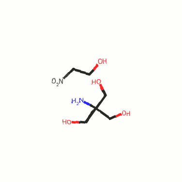 NC(CO)(CO)CO.O=[N+]([O-])CCO